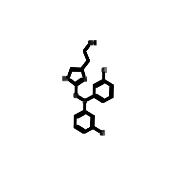 OCCc1c[nH]c(OB(c2cccc(Cl)c2)c2cccc(Cl)c2)n1